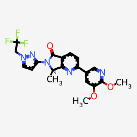 COc1cc(-c2ccc3c(n2)[C@@H](C)N(c2ccn(CC(F)(F)F)n2)C3=O)cnc1OC